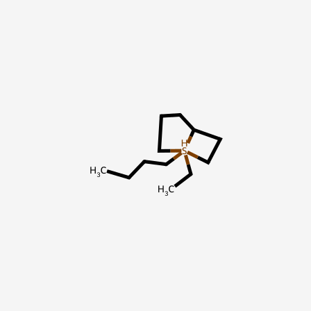 CCCC[SH]12(CC)CCCC1CC2